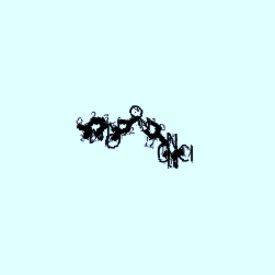 Cc1ccc(N2CC(C(=O)N3CCC(c4nc(Cl)no4)CC3)CC2=O)nc1